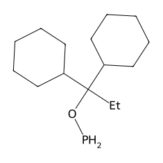 CCC(OP)(C1CCCCC1)C1CCCCC1